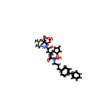 CC(C)(C)[C@@H](CO)NC(=O)C[C@H](C(=O)N(O)CCCc1ccc(-c2ccccc2)cc1)C1CCCC1